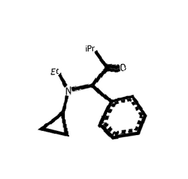 CCN(C1CC1)C(C(=O)C(C)C)c1ccccc1